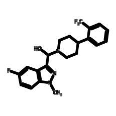 Cn1nc(C(O)N2CCC(c3ccccc3C(F)(F)F)CC2)c2cc(F)ccc21